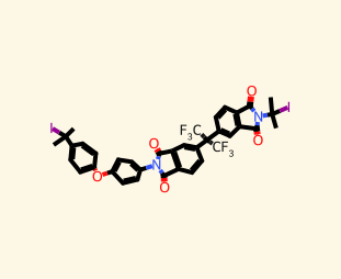 CC(C)(I)c1ccc(Oc2ccc(N3C(=O)c4ccc(C(c5ccc6c(c5)C(=O)N(C(C)(C)I)C6=O)(C(F)(F)F)C(F)(F)F)cc4C3=O)cc2)cc1